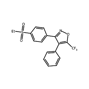 CCS(=O)(=O)c1ccc(-c2noc(C(F)(F)F)c2-c2ccccc2)cc1